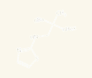 CCCCCCC(C)(CCCC)CNc1nccs1